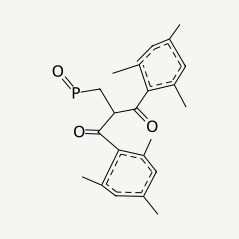 Cc1cc(C)c(C(=O)C(CP=O)C(=O)c2c(C)cc(C)cc2C)c(C)c1